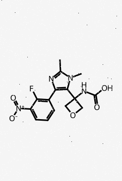 Cc1nc(-c2cccc([N+](=O)[O-])c2F)c(C2(NC(=O)O)COC2)n1C